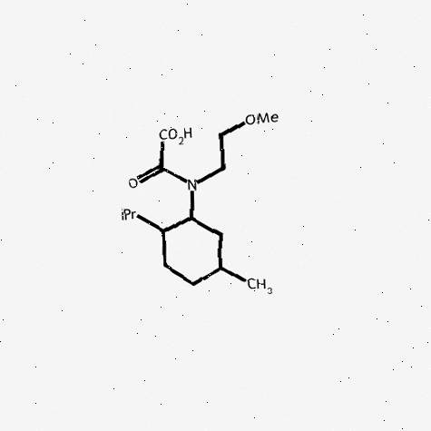 COCCN(C(=O)C(=O)O)C1CC(C)CCC1C(C)C